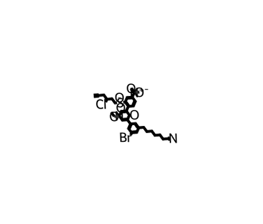 C#CCC(Cl)CCS(=O)(=O)c1cc([N+](=O)[O-])ccc1-c1cn(OC)cc(-c2cc(Br)cc(CCCCCCC#N)c2)c1=O